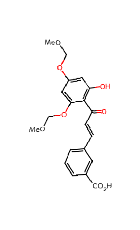 COCOc1cc(O)c(C(=O)C=Cc2cccc(C(=O)O)c2)c(OCOC)c1